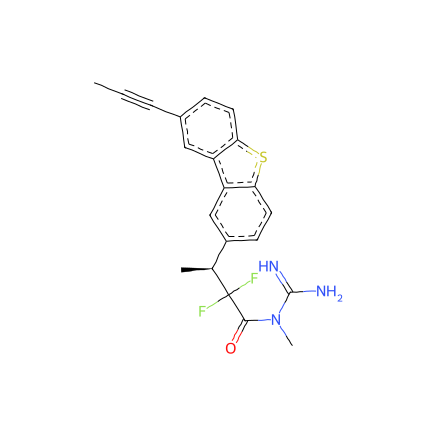 CC#Cc1ccc2sc3ccc([C@H](C)C(F)(F)C(=O)N(C)C(=N)N)cc3c2c1